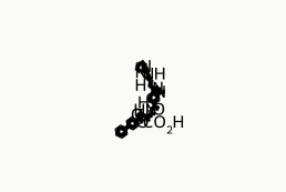 Cn1nc(CCCNC2N=CCCN2)c2ccc(C(=O)NCC(NS(=O)(=O)c3ccc(-c4ccccc4)cc3)C(=O)O)cc21